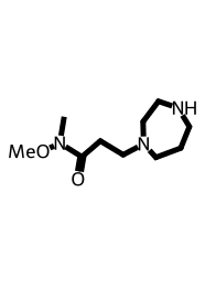 CON(C)C(=O)CCN1CCCNCC1